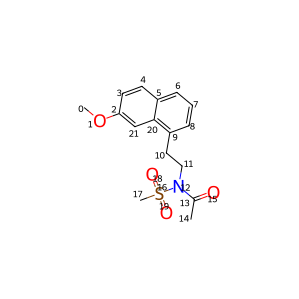 COc1ccc2cccc(CCN(C(C)=O)S(C)(=O)=O)c2c1